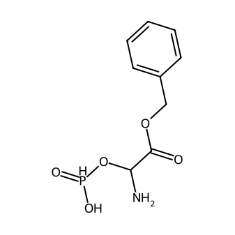 NC(O[PH](=O)O)C(=O)OCc1ccccc1